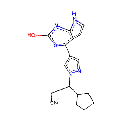 N#CCC(C1CCCC1)n1cc(-c2nc(O)nc3[nH]ccc23)cn1